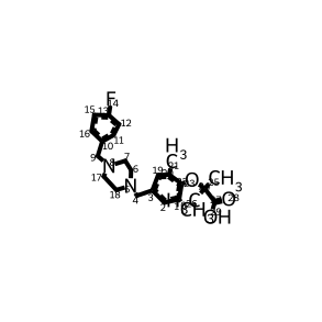 Cc1cc(CN2CCN(Cc3ccc(F)cc3)CC2)cc(C)c1OC(C)(C)C(=O)O